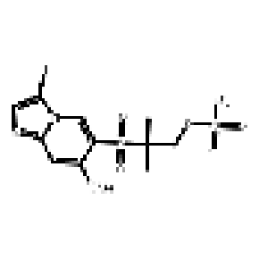 COc1cc2ncc(I)n2cc1S(=O)(=O)C(C)(C)COS(=O)(=O)C(F)(F)F